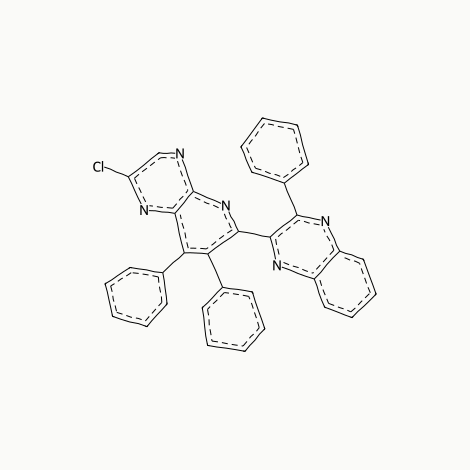 Clc1cnc2nc(-c3nc4ccccc4nc3-c3ccccc3)c(-c3ccccc3)c(-c3ccccc3)c2n1